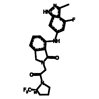 Cc1n[nH]c2cc(Nc3cccc4c3C(=O)N(CC(=O)N3CCC[C@H]3C(F)(F)F)C4)cc(F)c12